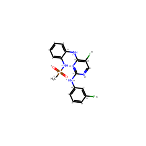 CS(=O)(=O)Nc1ccccc1Nc1nc(Nc2cccc(F)c2)ncc1F